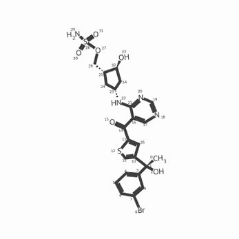 C[C@@](O)(c1cccc(Br)c1)c1csc(C(=O)c2cncnc2N[C@@H]2C[C@H](COS(N)(=O)=O)[C@@H](O)C2)c1